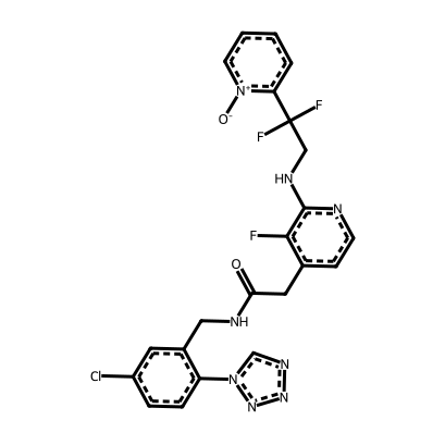 O=C(Cc1ccnc(NCC(F)(F)c2cccc[n+]2[O-])c1F)NCc1cc(Cl)ccc1-n1cnnn1